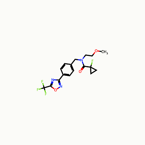 COCCN(Cc1ccc(-c2noc(C(F)(F)F)n2)cc1)C(=O)C1(F)CC1